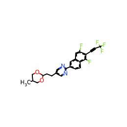 CC1COC(CCc2cnc(-c3ccc4c(F)c(C#CC(F)(F)F)c(F)cc4c3)nc2)OC1